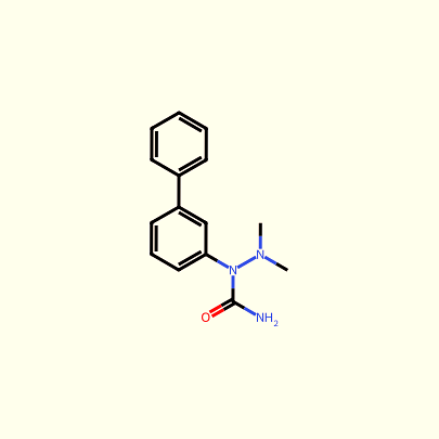 CN(C)N(C(N)=O)c1cccc(-c2ccccc2)c1